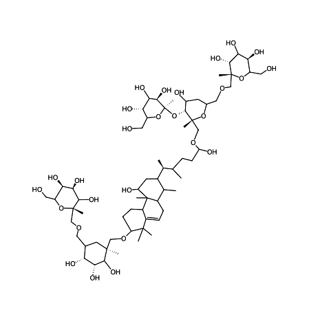 CC1C([C@@H](C)C(C)CCC(O)OC[C@@]2(C)OC(COC[C@@]3(C)OC(CO)[C@H](O)C(O)[C@H]3O)CC(O)[C@H]2O[C@@]2(C)OC(CO)[C@H](O)C(O)[C@H]2O)CC(O)C2(C)C3CCC(OC[C@]4(C)CC(COC[C@]5(C)OC(CO)[C@@H](O)[C@@H](O)C5O)[C@@H](O)[C@@H](O)C4O)C(C)(C)C3=CCC12